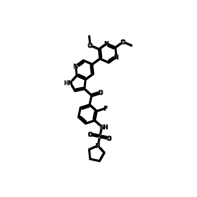 COc1ncc(-c2cnc3[nH]cc(C(=O)c4cccc(NS(=O)(=O)N5CCCC5)c4F)c3c2)c(OC)n1